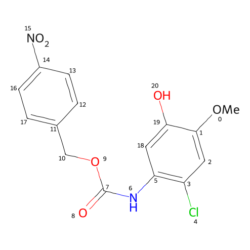 COc1cc(Cl)c(NC(=O)OCc2ccc([N+](=O)[O-])cc2)cc1O